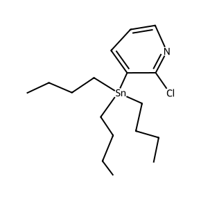 CCC[CH2][Sn]([CH2]CCC)([CH2]CCC)[c]1cccnc1Cl